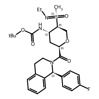 CCN=[S@@](C)(=O)[C@H]1CO[C@@H](C(=O)N2CCc3ccccc3[C@@H]2c2ccc(F)cc2)C[C@@H]1NC(=O)OC(C)(C)C